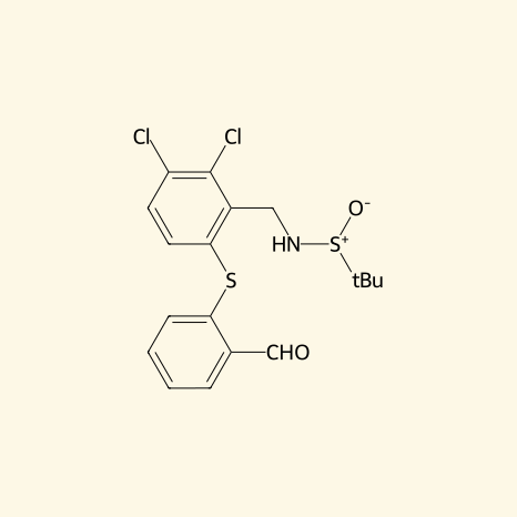 CC(C)(C)[S+]([O-])NCc1c(Sc2ccccc2C=O)ccc(Cl)c1Cl